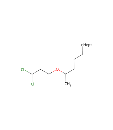 CCCCCCCCCCC(C)OCCC(Cl)Cl